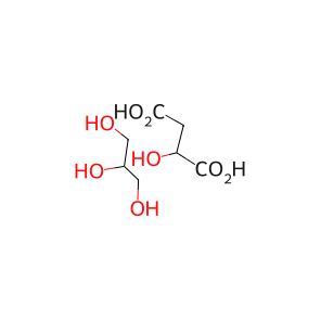 O=C(O)CC(O)C(=O)O.OCC(O)CO